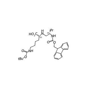 CC(C)[C@@H](CN[C@@H](CCCCNC(=O)OC(C)(C)C)C(=O)O)NC(=O)OCC1c2ccccc2-c2ccccc21